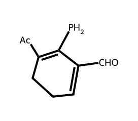 CC(=O)C1=C(P)C(C=O)=CCC1